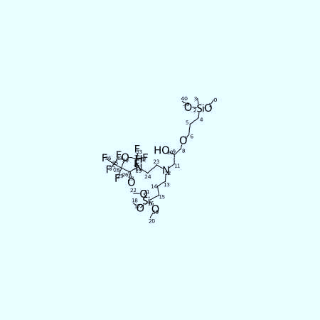 CO[Si](C)(CCCOCC(O)CN(CCC[Si](OC)(OC)OC)CCNC(=O)C(F)(OC(F)(F)F)C(F)(F)F)OC